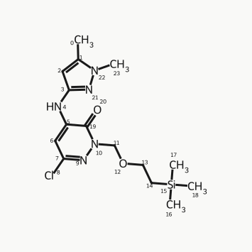 Cc1cc(Nc2cc(Cl)nn(COCC[Si](C)(C)C)c2=O)nn1C